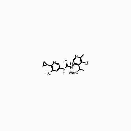 COC(C)c1c(NC(=O)Nc2cnc(C3CC3)c(C(F)(F)F)c2)cnc(C)c1Cl